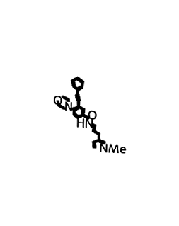 C=C/C(=C\NC)CCCNC(=O)c1ccc(N2CCOCC2)c(C#Cc2ccccc2)c1